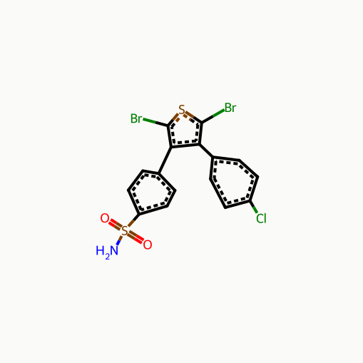 NS(=O)(=O)c1ccc(-c2c(Br)sc(Br)c2-c2ccc(Cl)cc2)cc1